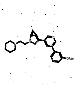 COc1cccc(-c2cncc(C3=C4C=C4N(CCN4CCCCC4)C3)c2)c1